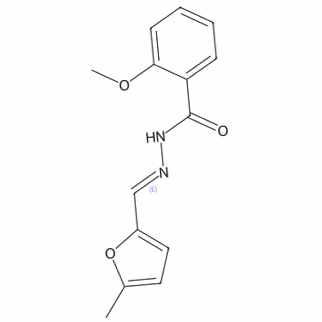 COc1ccccc1C(=O)N/N=C/c1ccc(C)o1